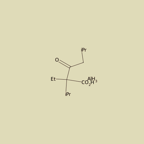 CCC(C(=O)O)(C(=O)CC(C)C)C(C)C.[AlH3]